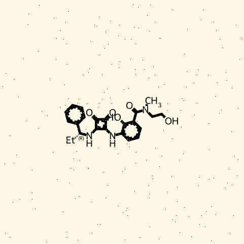 CC[C@@H](Nc1c(Nc2cccc(C(=O)N(C)CCO)c2O)c(=O)c1=O)c1ccccc1